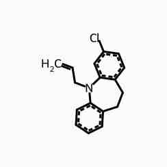 C=CCN1c2ccccc2CCc2ccc(Cl)cc21